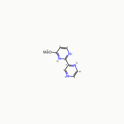 COc1ccnc(-c2[c]nccn2)n1